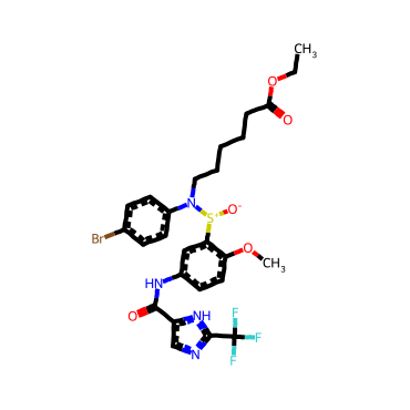 CCOC(=O)CCCCCN(c1ccc(Br)cc1)[S+]([O-])c1cc(NC(=O)c2cnc(C(F)(F)F)[nH]2)ccc1OC